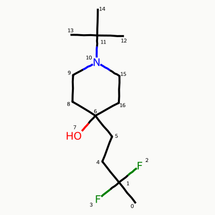 CC(F)(F)CCC1(O)CCN(C(C)(C)C)CC1